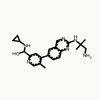 Cc1cnc(C(O)NC2CC2)cc1-c1ccc2nc(NC(C)(C)CN)ncc2c1